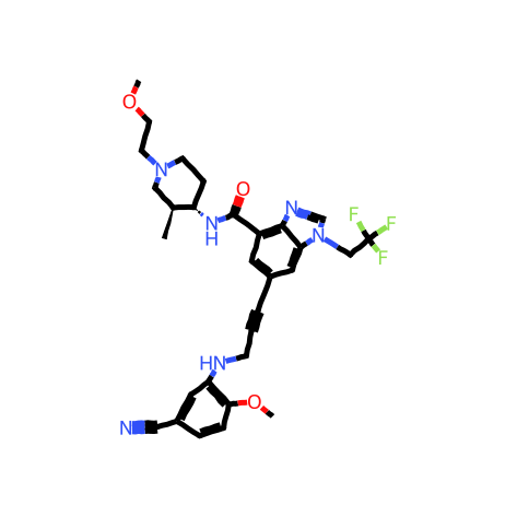 COCCN1CC[C@H](NC(=O)c2cc(C#CCNc3cc(C#N)ccc3OC)cc3c2ncn3CC(F)(F)F)[C@@H](C)C1